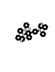 c1ccc(N(c2ccc(-c3c4c(c(N(c5ccccc5)c5ccnc6ccccc56)c5ccccc35)Oc3ccccc3O4)cc2)c2ccnc3ccccc23)cc1